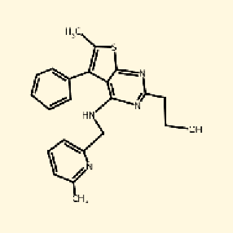 Cc1cccc(CNc2nc(CCO)nc3sc(C)c(-c4ccccc4)c23)n1